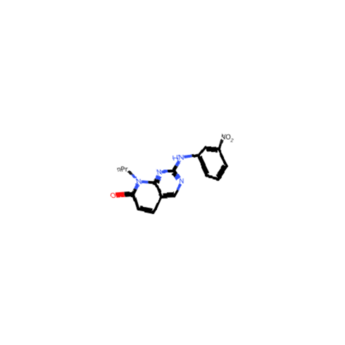 CCCn1c(=O)ccc2cnc(Nc3cccc([N+](=O)[O-])c3)nc21